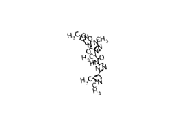 Cc1cc(Cn2c(=O)c3c(ncn3[C@@H](C)C(=O)Nc3cncc(-c4cnc(C)c(C)c4)n3)n(C)c2=O)no1